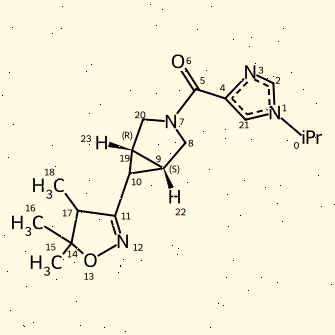 CC(C)n1cnc(C(=O)N2C[C@@H]3C(C4=NOC(C)(C)C4C)[C@@H]3C2)c1